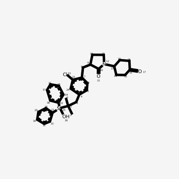 CC(C)(Cc1ccc(CC2CCN(C3CCC(=O)CC3)C2=O)c(Cl)c1)[Si](O)(c1ccccc1)c1ccccc1